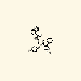 Cc1nc(C(=O)N(CCNC(=O)c2cccc3occc23)Cc2ccc(F)cc2)c(-c2ccccc2)s1